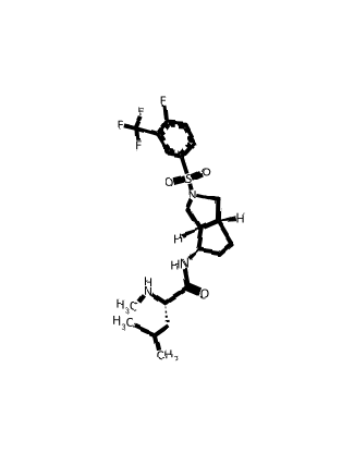 CN[C@@H](CC(C)C)C(=O)N[C@@H]1CC[C@H]2CN(S(=O)(=O)c3ccc(F)c(C(F)(F)F)c3)C[C@H]21